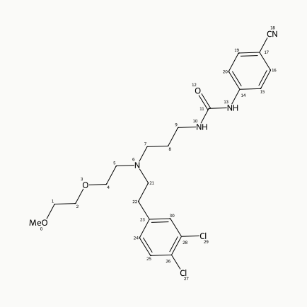 COCCOCCN(CCCNC(=O)Nc1ccc(C#N)cc1)CCc1ccc(Cl)c(Cl)c1